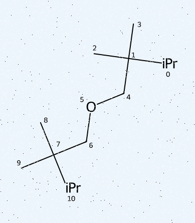 CC(C)C(C)(C)COCC(C)(C)C(C)C